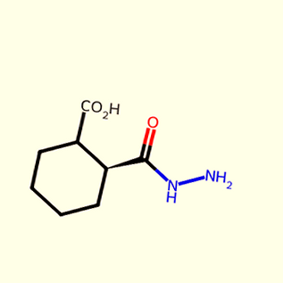 NNC(=O)[C@H]1CCCCC1C(=O)O